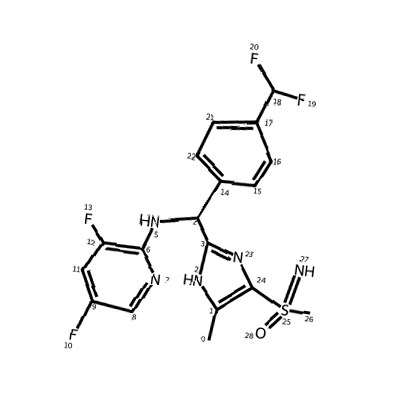 Cc1[nH]c(C(Nc2ncc(F)cc2F)c2ccc(C(F)F)cc2)nc1S(C)(=N)=O